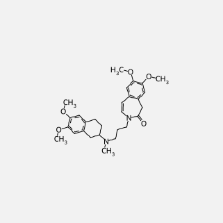 COc1cc2c(cc1OC)CC(=O)N(CCCN(C)C1CCc3cc(OC)c(OC)cc3C1)C=C2